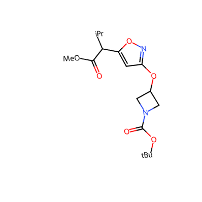 COC(=O)C(c1cc(OC2CN(C(=O)OC(C)(C)C)C2)no1)C(C)C